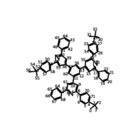 CC(C)(C)c1ccc(-c2cc(-c3cc(-c4cc(-c5ccccc5)nc(-c5ccc(C(C)(C)C)cc5)c4)cc(-c4cc(-c5ccccc5)nc(-c5ccc(C(C)(C)C)cc5)c4)c3)cc(-c3ccccc3)n2)cc1